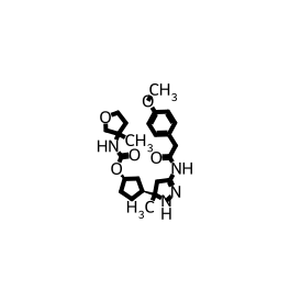 COc1ccc(CC(=O)NC2=NNC(C)([C@H]3CC[C@@H](OC(=O)NC4(C)CCOC4)C3)C2)cc1